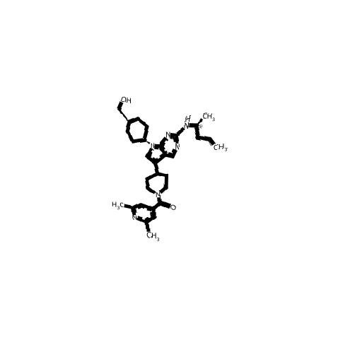 CCC[C@H](C)Nc1ncc2c(C3CCN(C(=O)c4cc(C)nc(C)c4)CC3)cn([C@H]3CC[C@H](CO)CC3)c2n1